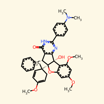 COC1=CCC(C)([C@@]23Oc4cc(OC)cc(OC)c4[C@]2(O)c2nc(-c4ccc(N(C)C)cc4)[nH]c(=O)c2[C@H]3c2ccccc2)C=C1